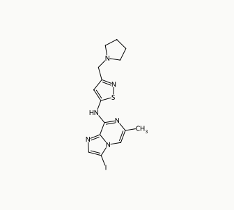 Cc1cn2c(I)cnc2c(Nc2cc(CN3CCCC3)ns2)n1